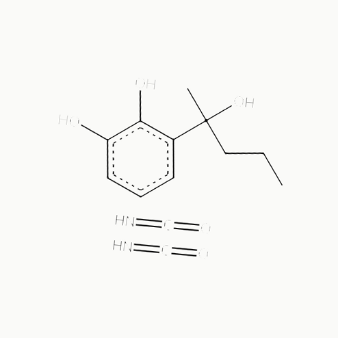 CCCC(C)(O)c1cccc(O)c1O.N=C=O.N=C=O